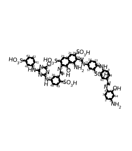 Nc1ccc(N=Nc2ccc(Nc3ccc(N=Nc4c(S(=O)(=O)O)cc5cc(S(=O)(=O)O)c(N=Nc6cc(Nc7nc(Cl)nc(Nc8cccc(S(=O)(=O)O)c8)n7)ccc6S(=O)(=O)O)c(O)c5c4N)cc3S(=O)(=O)O)cc2)c(O)c1